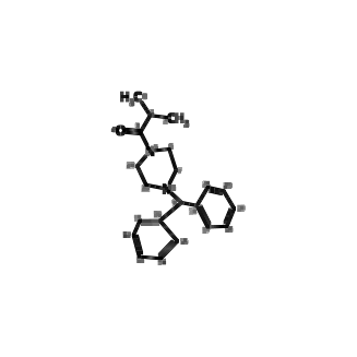 CC(C)C(=O)N1CCN(C(c2ccccc2)c2ccccc2)CC1